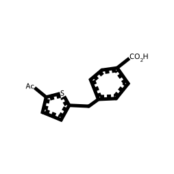 CC(=O)c1ccc(Cc2ccc(C(=O)O)cc2)s1